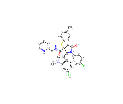 Cc1ccc(S[C@@]2(C(=O)NCc3ccccn3)CC(=O)N(c3ccc(Cl)cc3)[C@H]2c2cn(C)c3cc(Cl)ccc23)cc1